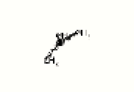 CCCCCCCCCCCCCC[n+]1ccn(CCCCCCCCCCCC)c1CCCC